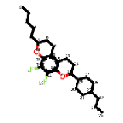 CCCCCC1CCc2c3c(c(F)c(F)c2O1)OC(C1CCC(CCC)CC1)CC3